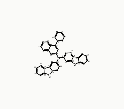 c1ccc(-c2cc(N(c3cnc4c(c3)oc3ccccc34)c3ccc4oc5cccnc5c4c3)cc3ccccc23)cc1